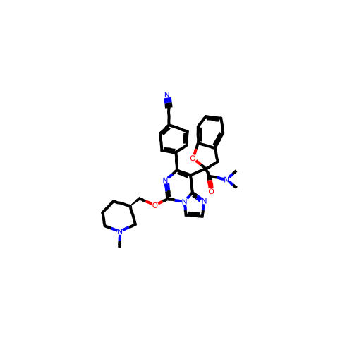 CN1CCC[C@@H](COc2nc(-c3ccc(C#N)cc3)c(C3(C(=O)N(C)C)Cc4ccccc4O3)c3nccn23)C1